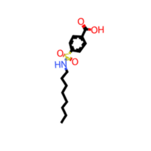 CCCCCCCCNS(=O)(=O)c1ccc(C(=O)O)cc1